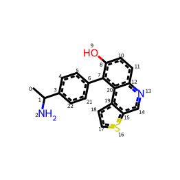 CC(N)c1ccc(-c2c(O)ccc3ncc4sccc4c23)cc1